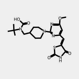 COc1cc(/C=C2\SC(=O)NC2=O)nc(N2CCC(CN(C(=O)O)C(C)(C)C)CC2)n1